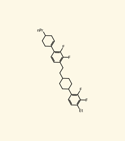 CCCC1CC=C(c2ccc(CCC3CCC(c4ccc(CC)c(F)c4F)CC3)c(F)c2F)CC1